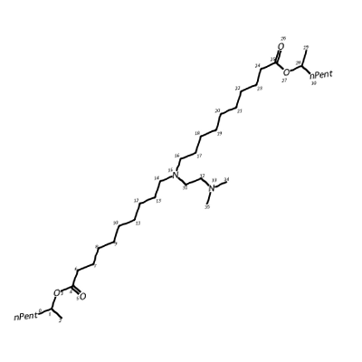 CCCCCC(C)OC(=O)CCCCCCCCCN(CCCCCCCCCC(=O)OC(C)CCCCC)CCN(C)C